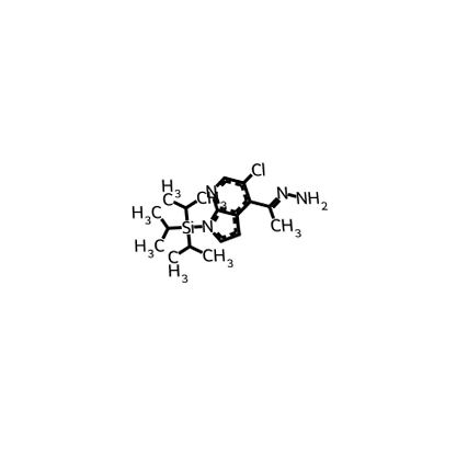 C/C(=N\N)c1c(Cl)cnc2c1ccn2[Si](C(C)C)(C(C)C)C(C)C